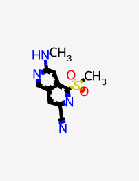 CNc1cc2c(S(C)(=O)=O)nc(C#N)cc2cn1